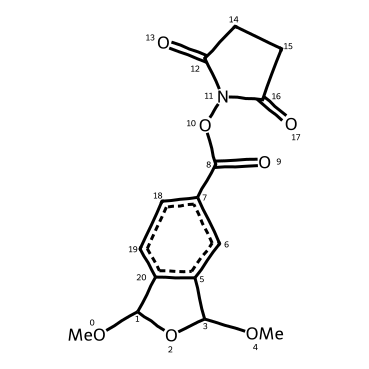 COC1OC(OC)c2cc(C(=O)ON3C(=O)CCC3=O)ccc21